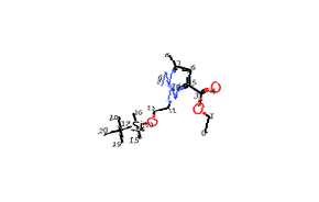 CCOC(=O)c1cc(C)nn1CCO[Si](C)(C)C(C)(C)C